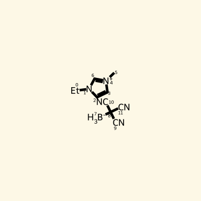 CCn1cc[n+](C)c1.[BH3-]C(C#N)(C#N)C#N